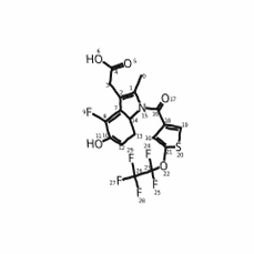 CC1=C(CC(=O)O)C2=C(F)C(O)=CCC2N1C(=O)c1csc(OC(F)(F)C(F)(F)F)c1